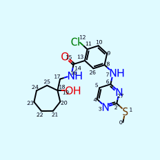 CSc1nccc(Nc2ccc(Cl)c(C(=O)NCC3(O)CCCCCC3)c2)n1